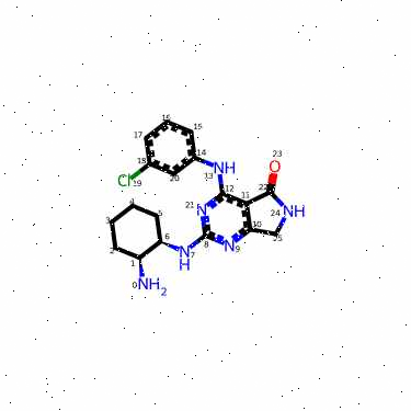 N[C@H]1CCCC[C@H]1Nc1nc2c(c(Nc3cccc(Cl)c3)n1)C(=O)NC2